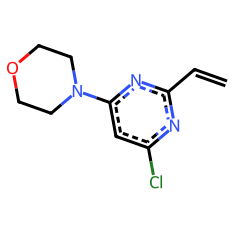 C=Cc1nc(Cl)cc(N2CCOCC2)n1